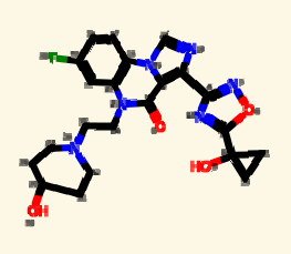 O=c1c2c(-c3noc(C4(O)CC4)n3)ncn2c2ccc(F)cc2n1CCN1CCC(O)CC1